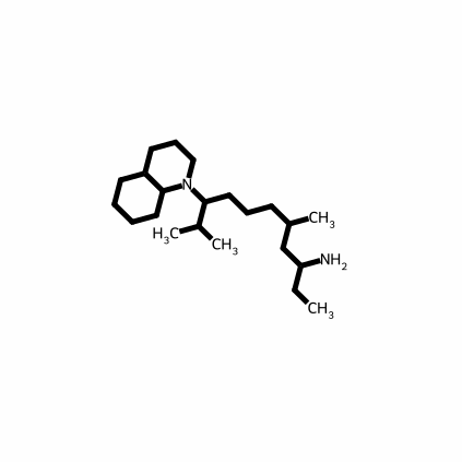 CCC(N)CC(C)CCCC(C(C)C)N1CCCC2CCCCC21